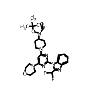 CC(C)(C)ON(C=O)C1CCN(c2cc(N3CCOCC3)nc(-n3c(C(F)F)nc4ccccc43)n2)CC1